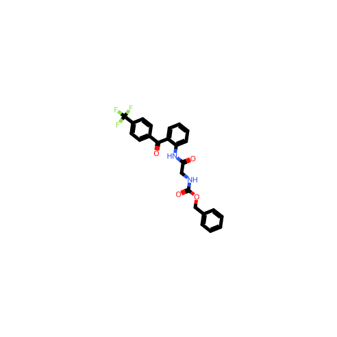 O=C(CNC(=O)OCc1ccccc1)Nc1ccccc1C(=O)c1ccc(C(F)(F)F)cc1